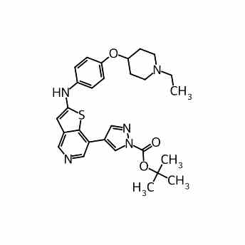 CCN1CCC(Oc2ccc(Nc3cc4cncc(-c5cnn(C(=O)OC(C)(C)C)c5)c4s3)cc2)CC1